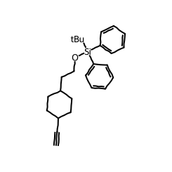 C#CC1CCC(CCO[Si](c2ccccc2)(c2ccccc2)C(C)(C)C)CC1